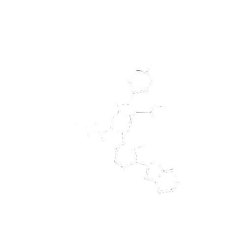 CNC(=O)c1c(-c2ccc(C)cc2)oc2cc(N(C)S(C)(=O)=O)c(-c3ccnc(-c4cc5ccccc5s4)c3C)cc12